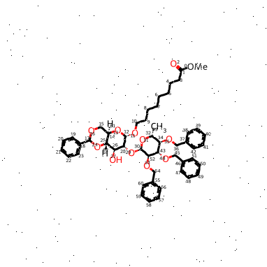 COC(=O)CCCCCCCCO[C@H]1O[C@@H]2COC(c3ccccc3)O[C@H]2[C@H](O)[C@H]1O[C@H]1O[C@H](C)[C@@H](OCc2ccccc2)[C@H](OCc2ccccc2)[C@H]1OCc1ccccc1